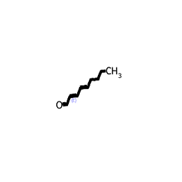 CCCCC=C/C=C/C=O